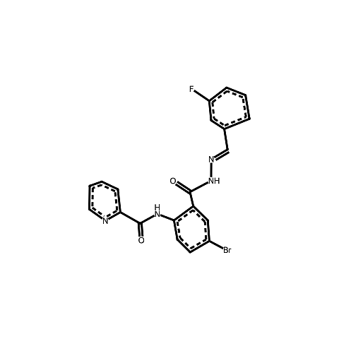 O=C(Nc1ccc(Br)cc1C(=O)NN=Cc1cccc(F)c1)c1ccccn1